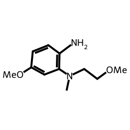 COCCN(C)c1cc(OC)ccc1N